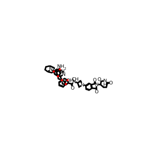 CN(C(=O)C1CCN(Cc2cccc(N3C4CCC3CN(c3cc(-c5ccccc5O)nnc3N)C4)c2)CC1)C1CN(c2ccc3c(c2)C(=O)N(C2CCC(=O)NC2=O)C3=O)C1